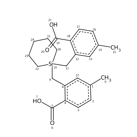 Cc1ccc(C(=O)O)c(C[Si]2(Cc3cc(C)ccc3C(=O)O)CCCCC2)c1